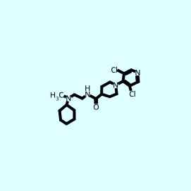 CN(CCNC(=O)C1CCN(c2c(Cl)cncc2Cl)CC1)C1CCCCC1